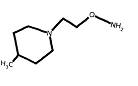 CC1CCN(CCON)CC1